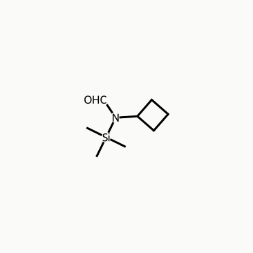 C[Si](C)(C)N(C=O)C1CCC1